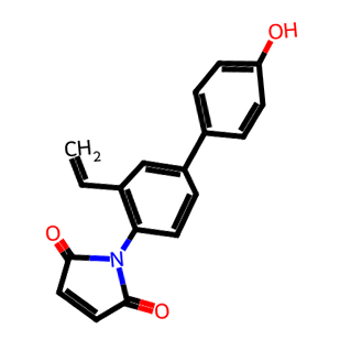 C=Cc1cc(-c2ccc(O)cc2)ccc1N1C(=O)C=CC1=O